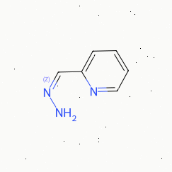 N/N=C\c1ccccn1